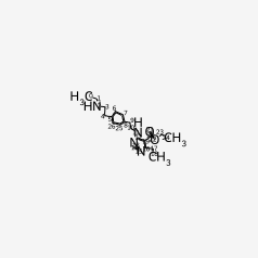 CCNCCc1ccc(CCNc2ncnc(CC)c2C(=O)OCC)cc1